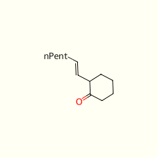 CCCCCC=CC1CCCCC1=O